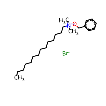 CCCCCCCCCCCCCC[N+](C)(C)OCc1ccccc1.[Br-]